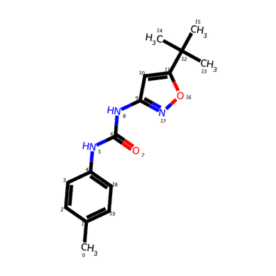 Cc1ccc(NC(=O)Nc2cc(C(C)(C)C)on2)cc1